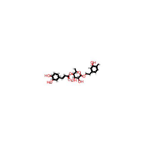 Cc1ccc(CCOC2OC(C)C(OC(=O)/C=C/c3ccc(O)c(O)c3)C(O)C2O)cc1O